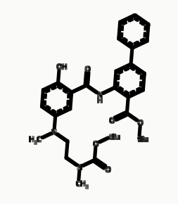 CN(CCN(C)c1ccc(O)c(C(=O)Nc2cc(-c3ccccc3)ccc2C(=O)OC(C)(C)C)c1)C(=O)OC(C)(C)C